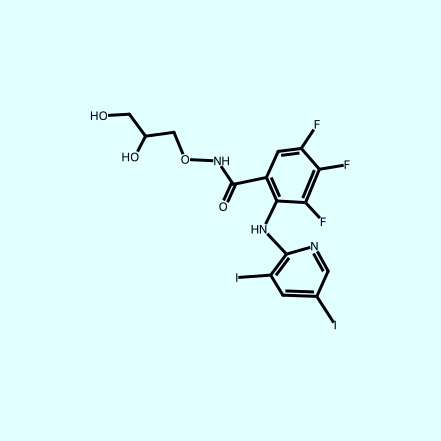 O=C(NOCC(O)CO)c1cc(F)c(F)c(F)c1Nc1ncc(I)cc1I